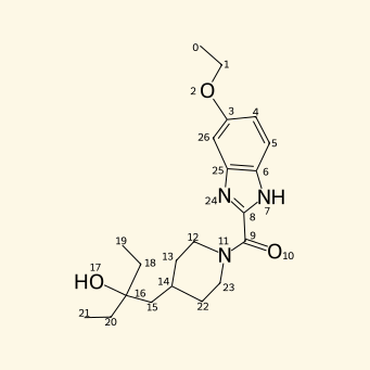 CCOc1ccc2[nH]c(C(=O)N3CCC(CC(O)(CC)CC)CC3)nc2c1